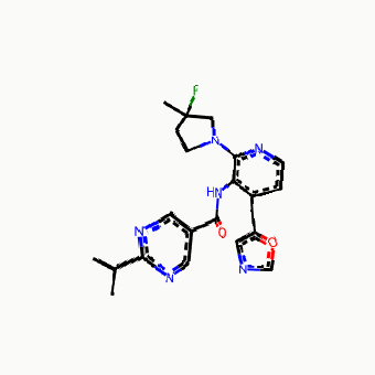 CC(C)c1ncc(C(=O)Nc2c(-c3cnco3)ccnc2N2CCC(C)(F)C2)cn1